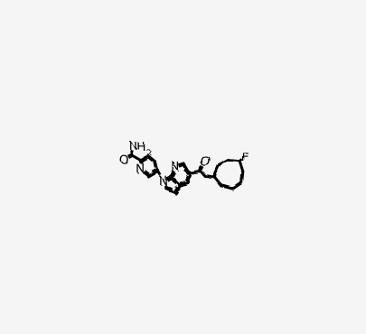 NC(=O)c1ccc(-n2ccc3cc(C(=O)CC4CCCCC(F)CC4)cnc32)cn1